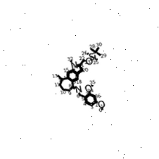 COc1ccc(CN=C2CCCC(C)c3cc4c(cc32)cc(CO[Si](C)(C)C(C)(C)C)n4C)c(OC)c1